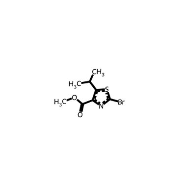 COC(=O)c1nc(Br)sc1C(C)C